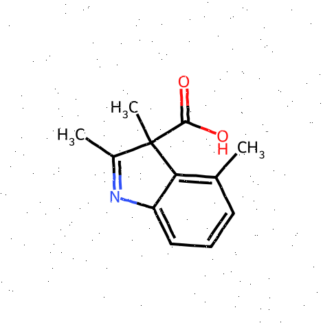 CC1=Nc2cccc(C)c2C1(C)C(=O)O